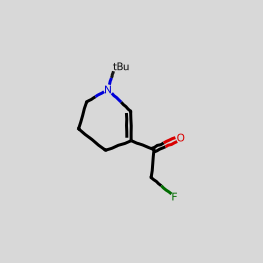 CC(C)(C)N1C=C(C(=O)CF)CCC1